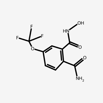 NC(=O)c1ccc(OC(F)(F)F)cc1C(=O)NO